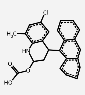 Cc1cc(Cl)cc2c1NC(OC(=O)O)CC2c1c2ccccc2cc2ccccc12